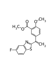 C=C(c1ccc(OC)c(C(=O)OC)c1)c1nc2cc(F)ccc2s1